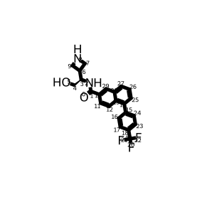 O=C(N[C@@H](CO)C1CNC1)c1ccc2c(-c3ccc(C(F)(F)F)cc3)cccc2c1